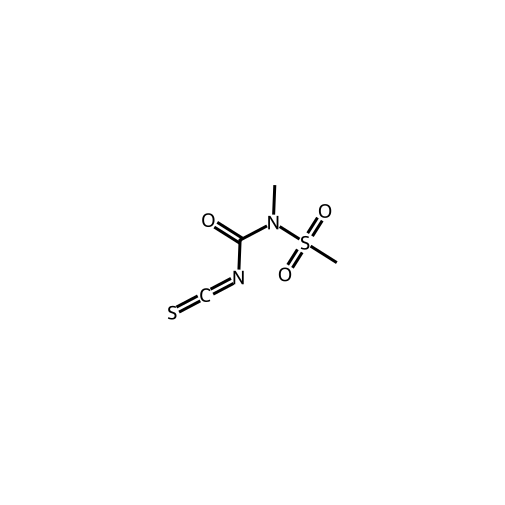 CN(C(=O)N=C=S)S(C)(=O)=O